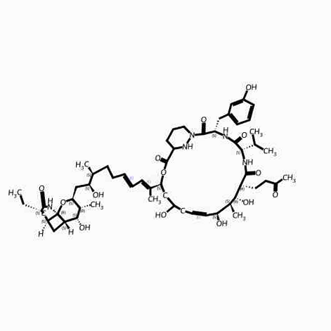 CC[C@H]1C[C@@H]2C[C@H]3[C@@H](O)[C@@H](C)[C@H](C[C@H](O)[C@@H](C)CC/C=C/C=C(\C)[C@@H]4CC(O)C/C=C/[C@H](O)[C@H](C)[C@@H](O)[C@@H](CCC(C)=O)C(=O)N[C@@H](C(C)C)C(=O)N[C@@H](Cc5cccc(O)c5)C(=O)N5CCCC(N5)C(=O)O4)O[C@]23NC1=O